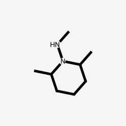 CNN1C(C)CCCC1C